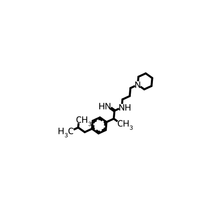 CC(C)Cc1ccc(C(C)C(=N)NCCCN2CCCCC2)cc1